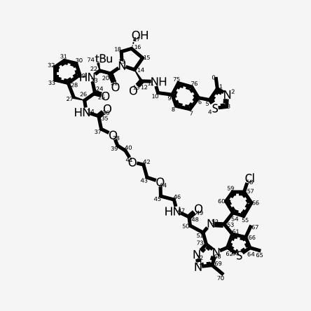 Cc1ncsc1-c1ccc(CNC(=O)[C@@H]2C[C@@H](O)CN2C(=O)[C@@H](NC(=O)[C@H](Cc2ccccc2)NC(=O)COCCOCCOCCNC(=O)CC2N=C(c3ccc(Cl)cc3)c3c(sc(C)c3C)-n3c(C)nnc32)C(C)(C)C)cc1